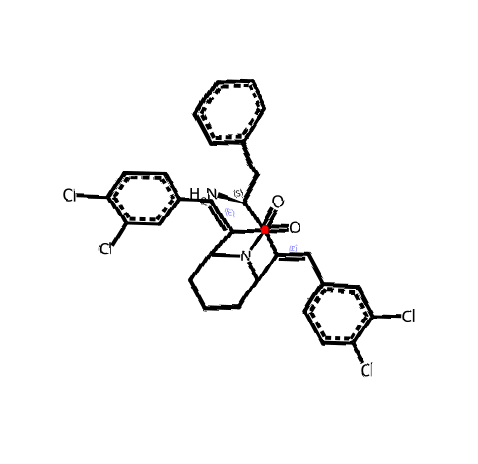 N[C@@H](Cc1ccccc1)C(=O)N1C2CCCC1/C(=C\c1ccc(Cl)c(Cl)c1)C(=O)/C2=C/c1ccc(Cl)c(Cl)c1